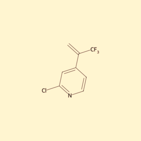 C=C(c1ccnc(Cl)c1)C(F)(F)F